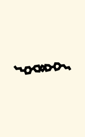 CCCCC1CCC(C2CCC3(CC2)CC2(CCC(C4CCC(CCCC)CC4)CC2)C3)CC1